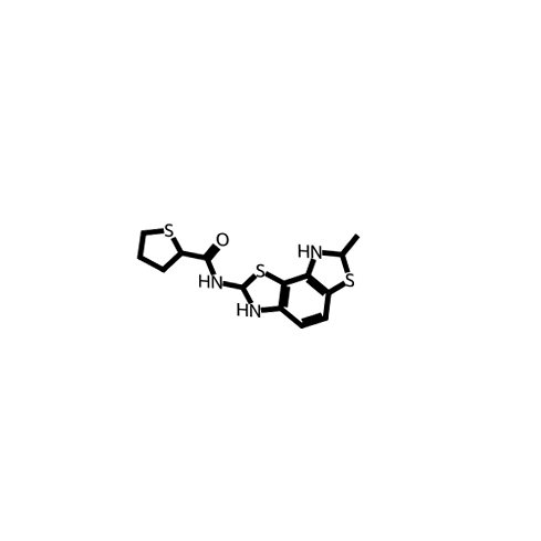 CC1Nc2c(ccc3c2SC(NC(=O)C2CCCS2)N3)S1